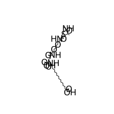 CNC(CSCC(=O)NCCOCCOCCNC(=O)CCC(NC(=O)CCCCCCCCCCCCCCC(=O)O)C(=O)O)C(=O)C(C)C